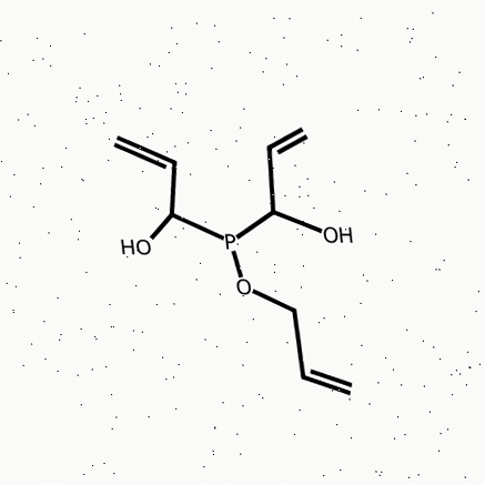 C=CCOP(C(O)C=C)C(O)C=C